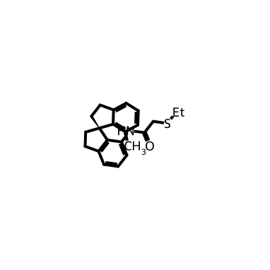 CCSCC(=O)Nc1cccc2c1[C@]1(CCc3cccc(C)c31)CC2